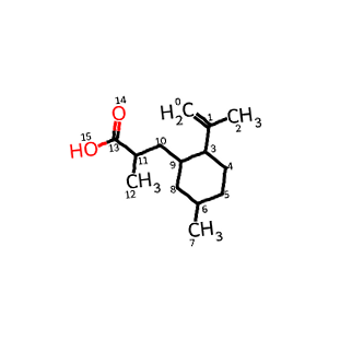 C=C(C)C1CCC(C)CC1CC(C)C(=O)O